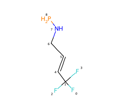 FC(F)(F)/C=C/CNP